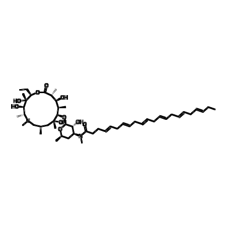 CCC=CCC=CCC=CCC=CCC=CCC=CCCC(=O)N(C)[C@H]1C[C@@H](C)O[C@@H](O[C@@H]2[C@H](C)[C@H](O)[C@@H](C)C(=O)O[C@H](CC)[C@@](C)(O)[C@H](O)[C@@H](C)N(C)C[C@H](C)C[C@@]2(C)O)[C@@H]1O